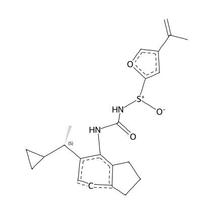 C=C(C)c1coc([S+]([O-])NC(=O)Nc2c([C@@H](C)C3CC3)ccc3c2CCC3)c1